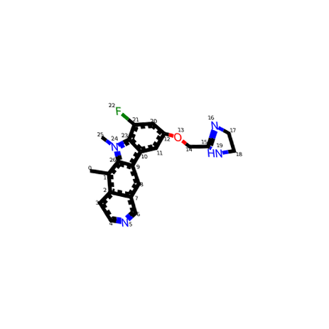 Cc1c2ccncc2cc2c3cc(OCC4=NCCN4)cc(F)c3n(C)c12